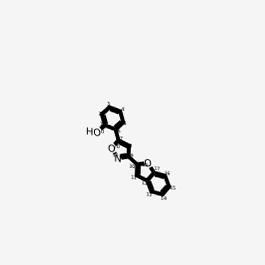 Oc1ccccc1-c1cc(-c2cc3ccccc3o2)no1